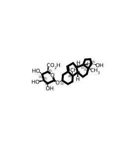 C[C@]12CC[C@H]3[C@@H](CC=C4C[C@@H](OC5O[C@H](C(=O)O)[C@@H](O)[C@H](O)[C@H]5O)CC[C@@]43C)[C@@H]1CC[C@@H]2O